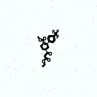 CCOC(=O)CC(=O)[C@@H]1CCN(C(=O)OC)[C@H](c2ccc(C(F)(F)F)cc2)C1